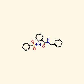 O=C(NCC1=CCCC=C1)c1ccccc1NS(=O)(=O)c1ccccc1